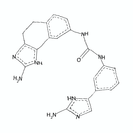 Nc1ncc(-c2cccc(NC(=O)Nc3ccc4c(c3)-c3[nH]c(N)nc3CC4)c2)[nH]1